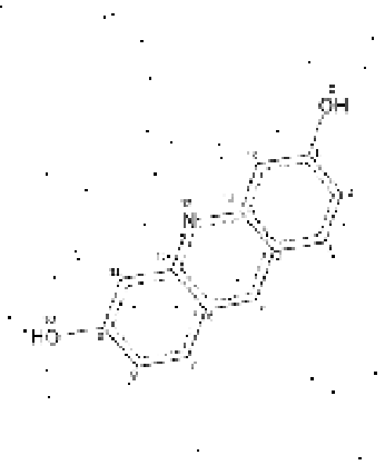 Oc1ccc2cc3ccc(O)cc3nc2c1